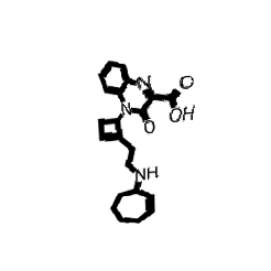 O=C(O)c1nc2ccccc2n([C@@H]2CC=C2CCNC2C=CCCCC2)c1=O